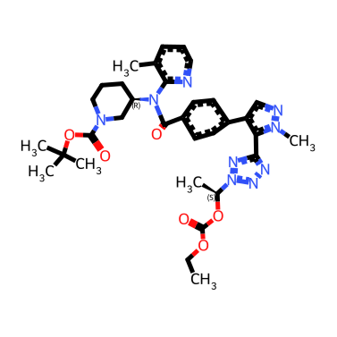 CCOC(=O)O[C@@H](C)n1nnc(-c2c(-c3ccc(C(=O)N(c4ncccc4C)[C@@H]4CCCN(C(=O)OC(C)(C)C)C4)cc3)cnn2C)n1